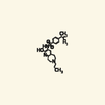 CCCN1CCc2cc(NS(=O)(=O)c3ccc(C(C)C)cc3)c(O)nc2CC1